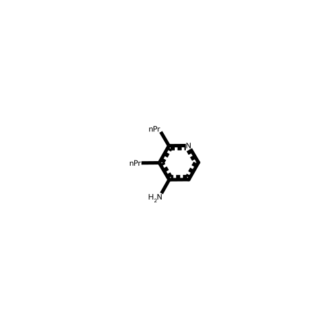 CCCc1nccc(N)c1CCC